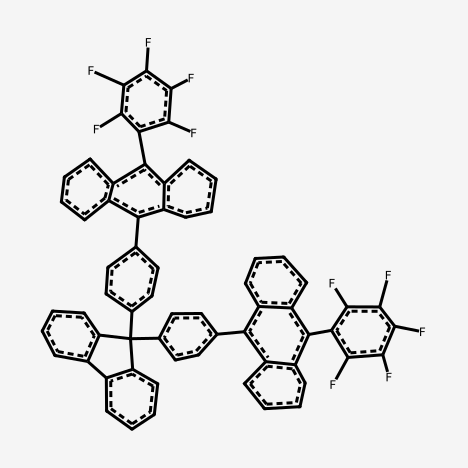 Fc1c(F)c(F)c(-c2c3ccccc3c(-c3ccc(C4(c5ccc(-c6c7ccccc7c(-c7c(F)c(F)c(F)c(F)c7F)c7ccccc67)cc5)c5ccccc5-c5ccccc54)cc3)c3ccccc23)c(F)c1F